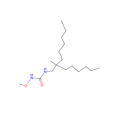 CCCCCCC(C)(CCCCCC)CNC(=O)NOC